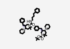 CC(C)(C)OC(=O)N1C/C(=C\c2ccccc2)C(N2CCCCC2)CC1(C)C.CC1(C)CC(N2CCCCC2)/C(=C/c2ccccc2)CN1C(=O)NCCCCc1ccccc1